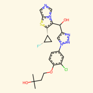 CC(C)(O)CCOc1ccc(-n2cc(C(O)c3c([C@@H]4C[C@@H]4F)sc4cncn34)nn2)cc1Cl